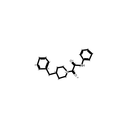 O=C(Nc1ccccc1)C(=O)N1CCC(Cc2ccccc2)CC1